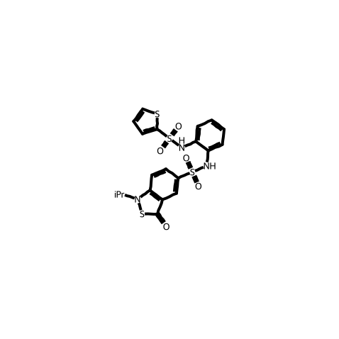 CC(C)n1sc(=O)c2cc(S(=O)(=O)Nc3ccccc3NS(=O)(=O)c3cccs3)ccc21